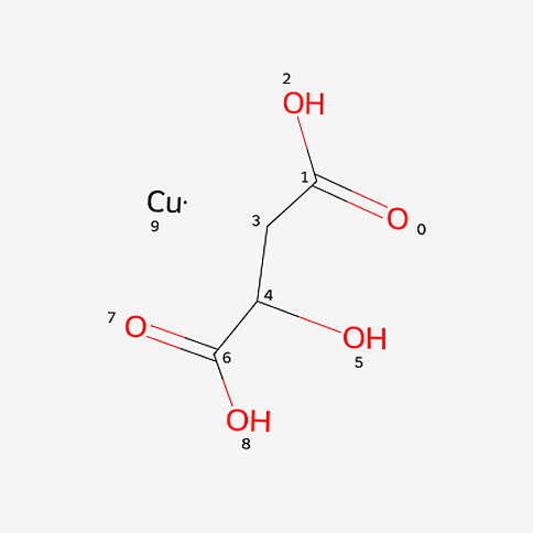 O=C(O)CC(O)C(=O)O.[Cu]